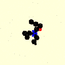 Cc1cccc(-c2cccc(-c3nc(-c4ccc5c(c4)oc4cccc(-c6ccc(-c7ccccc7)cc6)c45)nc(-c4ccc5c6ccccc6c6ccccc6c5c4)n3)c2)c1